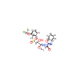 CC[C@H](NC(=O)[C@@H](O)CS(=O)(=O)Cc1ccccc1OC(F)F)C(=O)c1nc2ccccc2o1